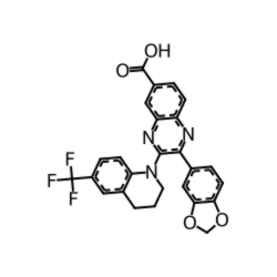 O=C(O)c1ccc2nc(-c3ccc4c(c3)OCO4)c(N3CCCc4cc(C(F)(F)F)ccc43)nc2c1